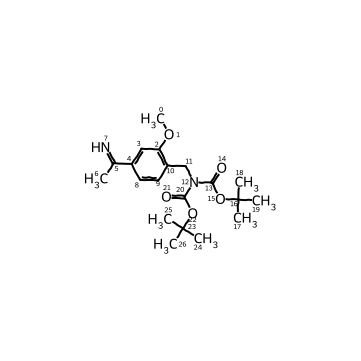 COc1cc(C(C)=N)ccc1CN(C(=O)OC(C)(C)C)C(=O)OC(C)(C)C